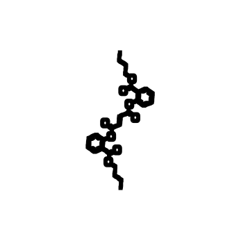 CCCCOC(=O)c1ccccc1OC(=O)/C=C/C(=O)Oc1ccccc1C(=O)OCCCC